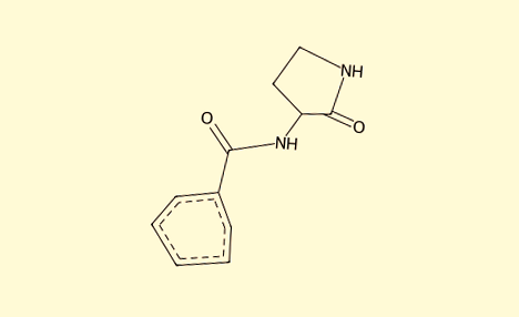 O=C(NC1CCNC1=O)c1ccccc1